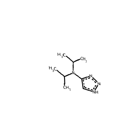 CC(C)N(c1c[nH]nn1)C(C)C